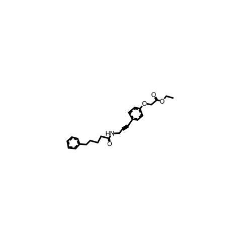 CCOC(=O)COc1ccc(C#CCNC(=O)CCCCc2ccccc2)cc1